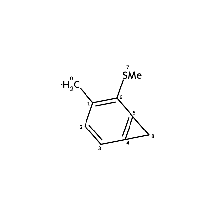 [CH2]c1ccc2c(c1SC)C2